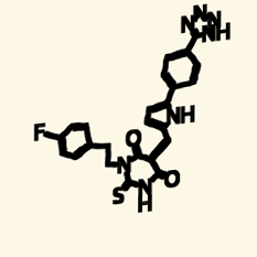 O=C1NC(=S)N(CCc2ccc(F)cc2)C(=O)/C1=C\c1ccc(-c2ccc(-c3nnn[nH]3)cc2)[nH]1